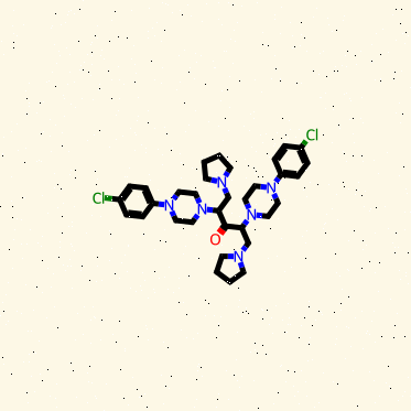 O=C(C(CN1CCCC1)N1CCN(c2ccc(Cl)cc2)CC1)C(CN1CCCC1)N1CCN(c2ccc(Cl)cc2)CC1